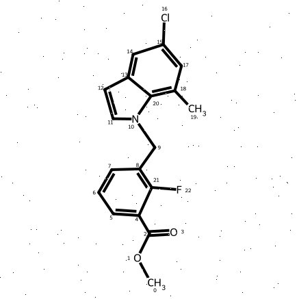 COC(=O)c1cccc(Cn2ccc3cc(Cl)cc(C)c32)c1F